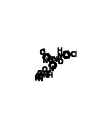 COc1ccc([C@@H]2CN(CC(=O)Nc3nnco3)CC[C@H]2NC(=O)Nc2ccc(Cl)cc2)nc1